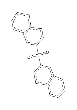 O=S(=O)(c1ccc2ccccc2c1)c1ccc2ccccc2c1